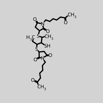 CCC(SC1CC(=O)N(CCCCCC(C)=O)C1=O)C(S)C(C)SC1CC(=O)N(CCCCCC(C)=O)C1=O